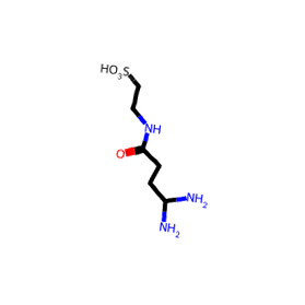 NC(N)CCC(=O)NCCS(=O)(=O)O